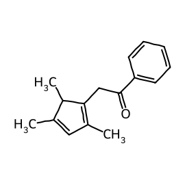 CC1=CC(C)=C(CC(=O)c2ccccc2)C1C